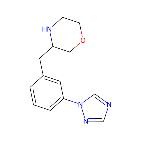 c1cc(CC2COCCN2)cc(-n2cncn2)c1